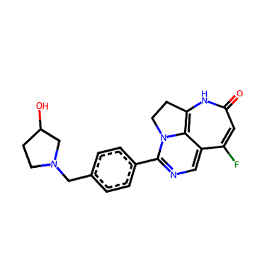 O=C1C=C(F)C2=CN=C(c3ccc(CN4CCC(O)C4)cc3)N3CCC(=C23)N1